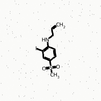 C=CCNc1ccc(S(C)(=O)=O)cc1I